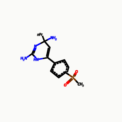 CCCC1(N)C=C(c2ccc(S(C)(=O)=O)cc2)NC(N)=N1